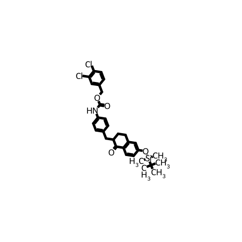 CC(C)(C)[Si](C)(C)Oc1ccc2c(c1)CCC(Cc1ccc(NC(=O)OCc3ccc(Cl)c(Cl)c3)cc1)C2=O